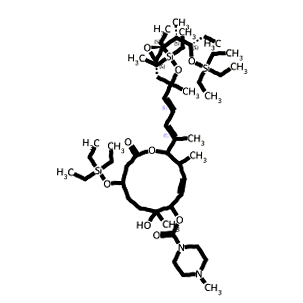 CC[C@H](O[Si](CC)(CC)CC)[C@@H](C)[C@@H]1O[C@H]1CC(C)(/C=C/C=C(\C)C1OC(=O)CC(O[Si](CC)(CC)CC)CCC(C)(O)C(OC(=O)N2CCN(C)CC2)C=CC1C)O[Si](CC)(CC)CC